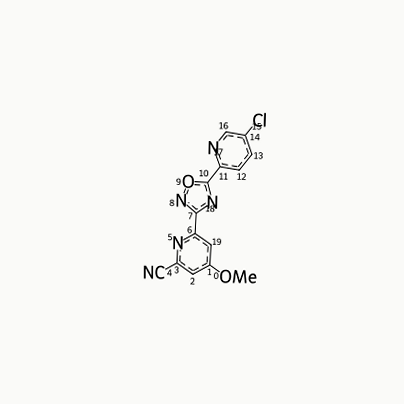 COc1cc(C#N)nc(-c2noc(-c3ccc(Cl)cn3)n2)c1